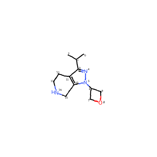 CC(C)c1nn(C2COC2)c2c1CCNC2